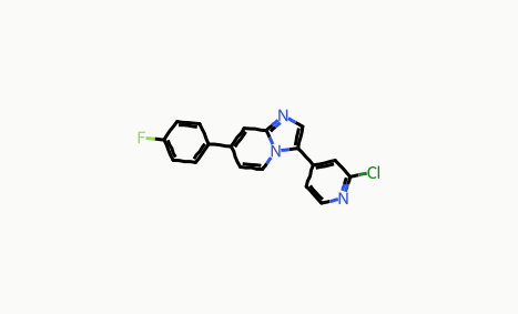 Fc1ccc(-c2ccn3c(-c4ccnc(Cl)c4)cnc3c2)cc1